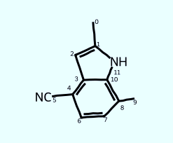 Cc1cc2c(C#N)ccc(C)c2[nH]1